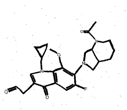 COc1c(N2CC3CCCN(C(C)=O)C3C2)c(F)cc2c(=O)c(CC=O)cn(C3CC3)c12